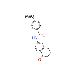 COc1ccc(C(=O)Nc2ccc3c(c2)CCCC3=O)cc1